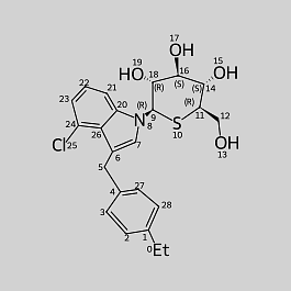 CCc1ccc(Cc2cn([C@@H]3S[C@H](CO)[C@@H](O)[C@H](O)[C@H]3O)c3cccc(Cl)c23)cc1